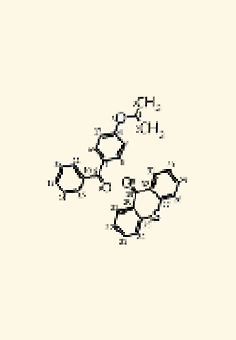 CC(C)Oc1ccc(C(=O)c2ccccc2)cc1.O=c1c2ccccc2sc2ccccc12